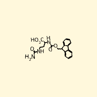 NC(=O)NCCC(NC(=O)OCC1c2ccccc2-c2ccccc21)C(=O)O